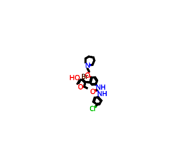 CC1OC=C(O)C(Br)=C1c1cc(NC(=O)Nc2ccc(Cl)cc2)ccc1OCCN1CCCCCC1